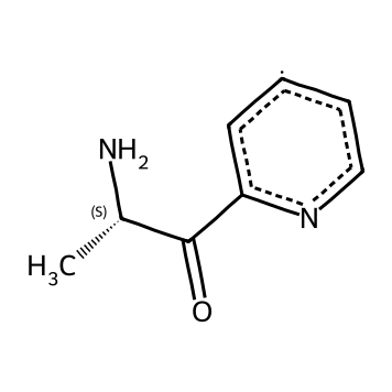 C[C@H](N)C(=O)c1c[c]ccn1